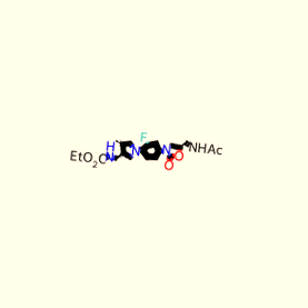 CCOC(=O)NC[C@@H]1CN(c2ccc(N3C[C@H](CNC(C)=O)OC3=O)cc2F)C[C@H]1C